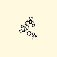 CCc1nc(Cl)c2n1CCN(C(=O)OC(C)(C)C)C2CCc1cccc(OC(F)F)c1